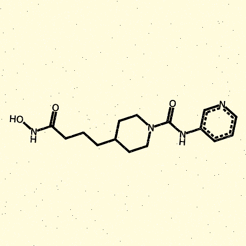 O=C(CCCC1CCN(C(=O)Nc2cccnc2)CC1)NO